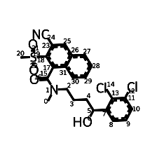 CN(CCCC(O)c1cccc(Cl)c1Cl)C(=O)c1c(S(C)(=O)=O)c(C#N)cc2ccccc12